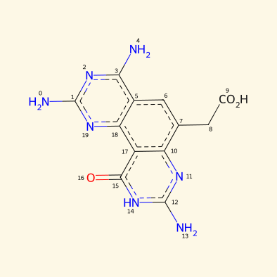 Nc1nc(N)c2cc(CC(=O)O)c3nc(N)[nH]c(=O)c3c2n1